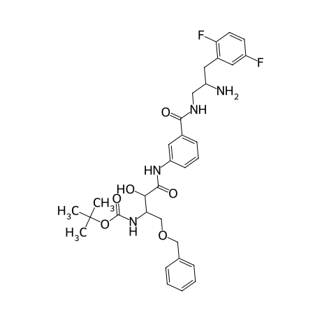 CC(C)(C)OC(=O)NC(COCc1ccccc1)C(O)C(=O)Nc1cccc(C(=O)NCC(N)Cc2cc(F)ccc2F)c1